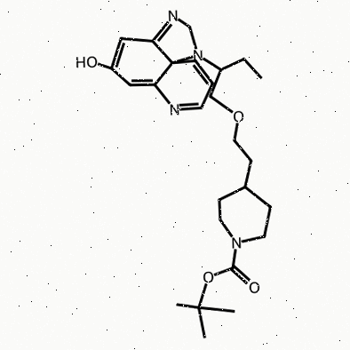 CCC(COCCC1CCN(C(=O)OC(C)(C)C)CC1)N1CN=C2C=C(O)C=C3N=CC=CC321